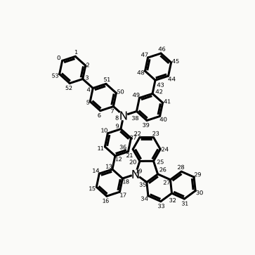 c1ccc(-c2ccc(N(c3ccc(-c4ccccc4-n4c5ccccc5c5c6ccccc6ccc54)cc3)c3cccc(-c4ccccc4)c3)cc2)cc1